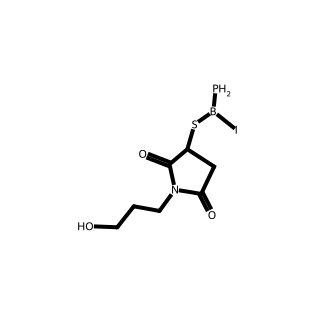 O=C1CC(SB(P)I)C(=O)N1CCCO